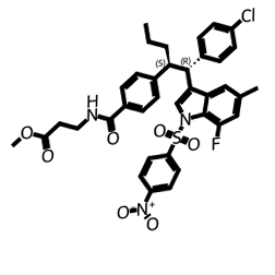 CCC[C@H](c1ccc(C(=O)NCCC(=O)OC)cc1)[C@H](c1ccc(Cl)cc1)c1cn(S(=O)(=O)c2ccc([N+](=O)[O-])cc2)c2c(F)cc(C)cc12